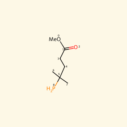 COC(=O)CCC(C)(C)P